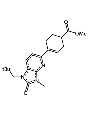 COC(=O)C1CC=C(c2ccc3c(n2)n(C)c(=O)n3CC(C)(C)C)CC1